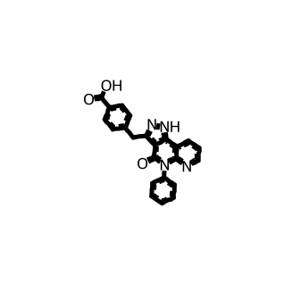 O=C(O)c1ccc(Cc2n[nH]c3c2c(=O)n(-c2ccccc2)c2ncccc32)cc1